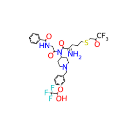 N[C@@H](CCCSCC(=O)C(F)(F)F)C(=O)N(C(=O)CNC(=O)c1ccccc1)C1CCN(Cc2ccccc2)CC1.O=C(O)C(F)(F)F